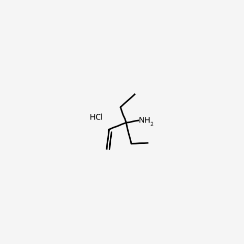 C=CC(N)(CC)CC.Cl